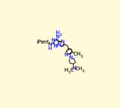 CCCC(C)Nc1nc(N)c2nc(Cc3cnc(N4CCC(N(C)C)CC4)c(C)c3)cn2n1